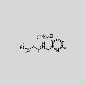 CCSCCNCc1ccccn1.[Cl][Ru][Cl]